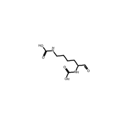 O=CC(CCCCNC(=O)O)NC(=O)O